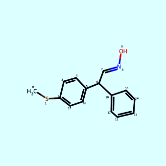 CSc1ccc(C(C=NO)c2ccccc2)cc1